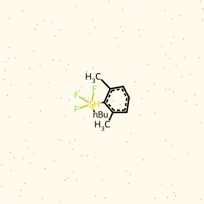 CCCC[SH](F)(F)(F)c1c(C)cccc1C